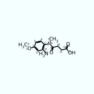 COc1ccc(N(C)C(=O)CCC(=O)O)c(N)c1